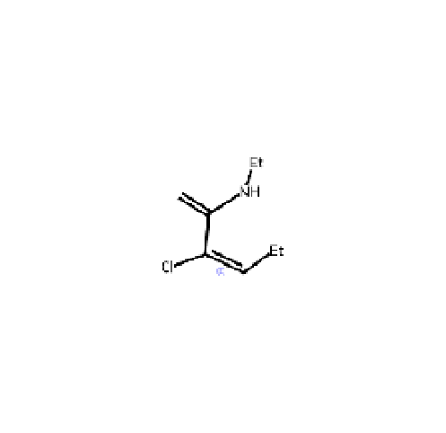 C=C(NCC)/C(Cl)=C\CC